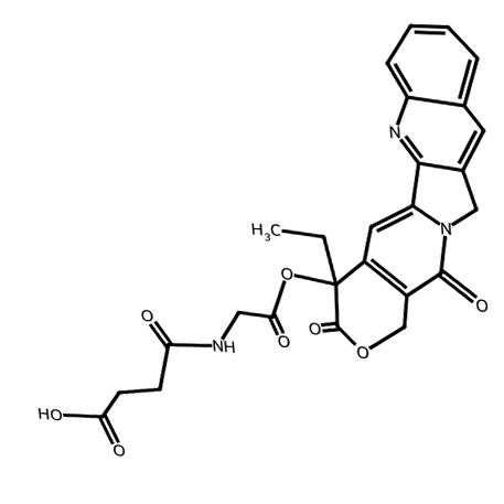 CCC1(OC(=O)CNC(=O)CCC(=O)O)C(=O)OCc2c1cc1n(c2=O)Cc2cc3ccccc3nc2-1